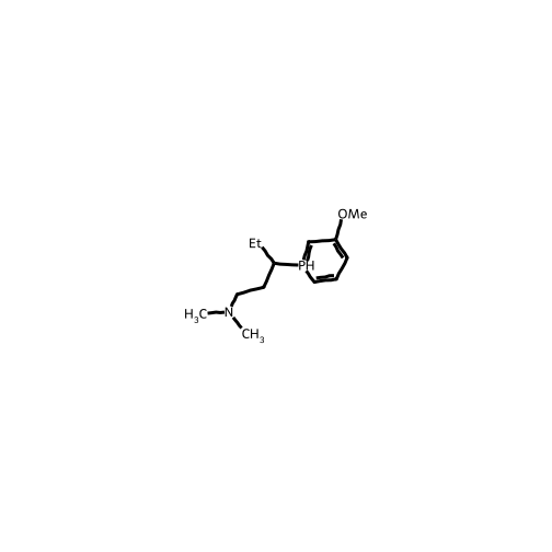 CCC(CCN(C)C)[PH]1=CC(OC)=CC=C1